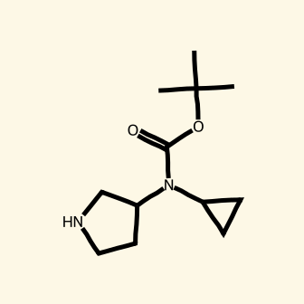 CC(C)(C)OC(=O)N(C1CC1)C1CCNC1